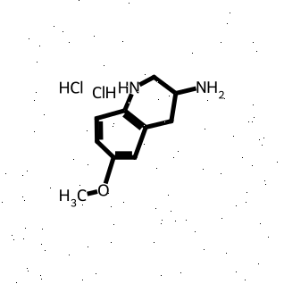 COc1ccc2c(c1)CC(N)CN2.Cl.Cl